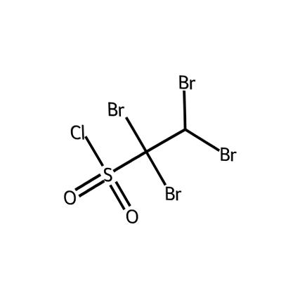 O=S(=O)(Cl)C(Br)(Br)C(Br)Br